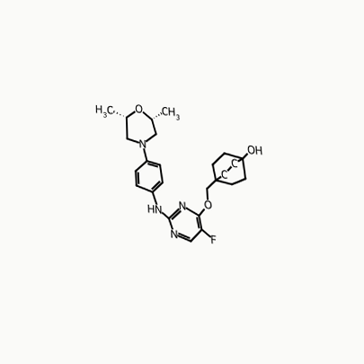 C[C@@H]1CN(c2ccc(Nc3ncc(F)c(OCC45CCC(O)(CC4)CC5)n3)cc2)C[C@H](C)O1